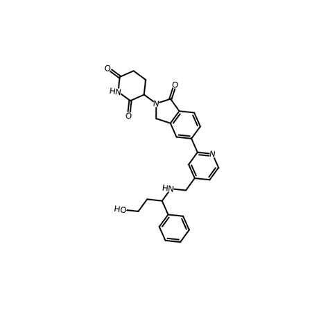 O=C1CCC(N2Cc3cc(-c4cc(CNC(CCO)c5ccccc5)ccn4)ccc3C2=O)C(=O)N1